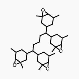 CC1CC(C(CCCC(C2CC(C)C3OC3(C)C2)C2CC(C)C3OC3(C)C2)C2CC(C)C3OC3(C)C2)CC2(C)OC12